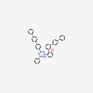 c1ccc(-c2ccc(-c3ccc(C4=NC(c5ccccc5)NC(c5cccc6oc7c(-c8ccc(-c9ccccc9)cc8)cccc7c56)=N4)cc3)cc2)cc1